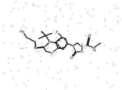 CNC(=O)[C@H]1CN(c2cc(F)c3c(c2)OCC(=NCCO)N3C(C)(C)C)C(=O)O1